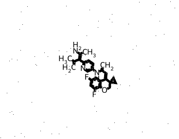 C=C(/C=C1\c2cc(F)cc(F)c2OCC12CC2)Nc1ccc(/C(C(=C)C)=C(\C)N)nc1